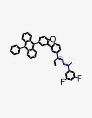 C=C/C(=C\C=C(/C)c1cc(F)cc(F)c1)c1ccc2oc3ccc(-c4c5ccccc5c(-c5ccccc5)c5ccccc45)cc3c2c1